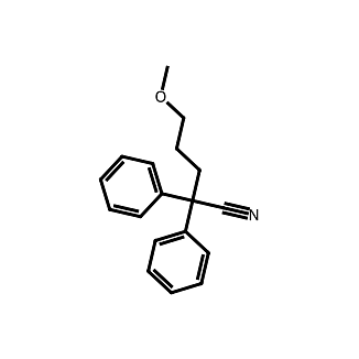 COCCCC(C#N)(c1ccccc1)c1ccccc1